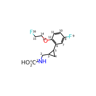 O=C(O)NCC1CC1c1cc(F)ccc1OCCF